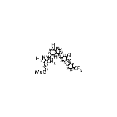 COCCOCC(C)(C)NC(=O)C1=Cc2c(ncnc2Nc2ccc(Oc3cccc(C(F)(F)F)c3)c(Cl)c2)NCC1